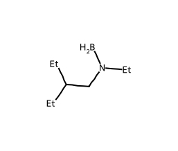 BN(CC)CC(CC)CC